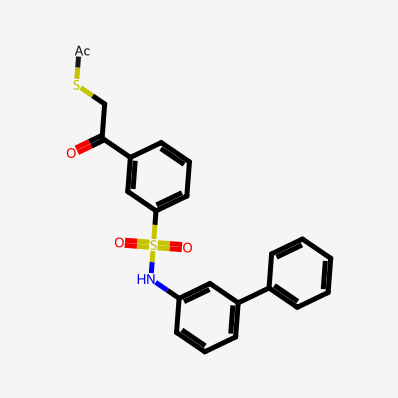 CC(=O)SCC(=O)c1cccc(S(=O)(=O)Nc2cccc(-c3ccccc3)c2)c1